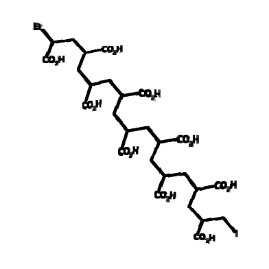 CCC(CC(CC(CC(CC(CC(CC(CC(CC(CI)C(=O)O)C(=O)O)C(=O)O)C(=O)O)C(=O)O)C(=O)O)C(=O)O)C(=O)O)C(=O)O